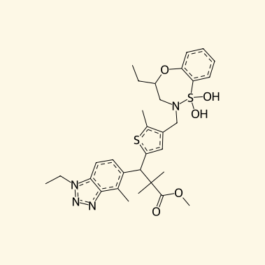 CCC1CN(Cc2cc(C(c3ccc4c(nnn4CC)c3C)C(C)(C)C(=O)OC)sc2C)S(O)(O)c2ccccc2O1